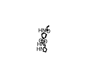 C=CC(=O)Nc1ccc(S(=O)(=O)NCC2CCCN2)cc1